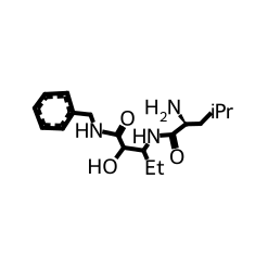 CCC(NC(=O)[C@@H](N)CC(C)C)C(O)C(=O)NCc1ccccc1